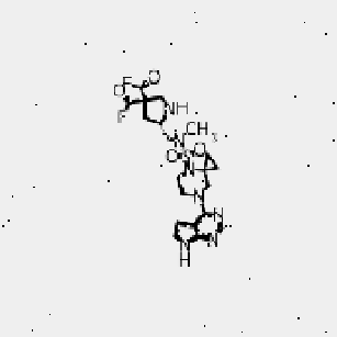 CN(C[C@@H]1CC(C(=O)F)(C(=O)F)CN1)S(=O)(=O)N1CCN(c2ncnc3[nH]ccc23)CC12CC2